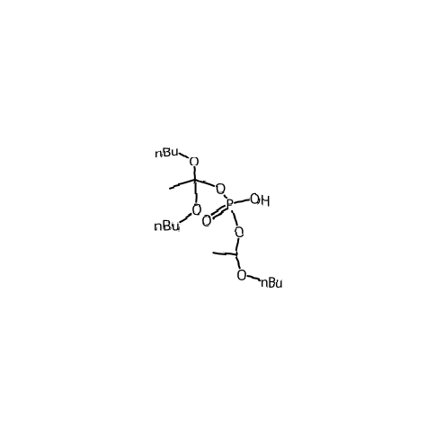 CCCCOC(C)OP(=O)(O)OC(C)(OCCCC)OCCCC